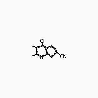 Cc1nc2cc(C#N)ccc2c(Cl)c1C